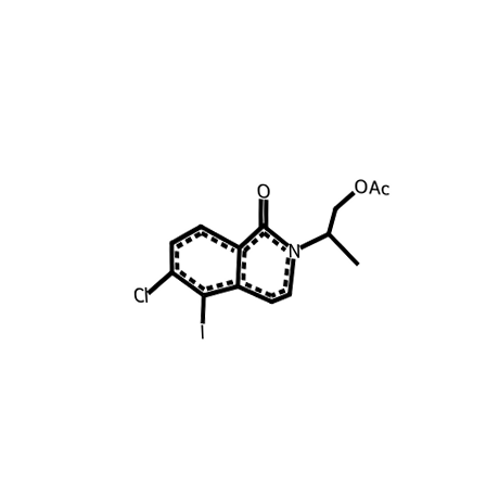 CC(=O)OCC(C)n1ccc2c(I)c(Cl)ccc2c1=O